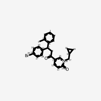 Cc1ccccc1C(CC(=O)c1ccc(=O)n(CC2CC2)c1)c1ccc(Br)cc1